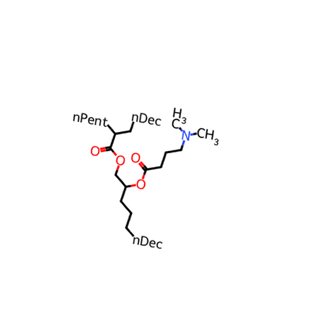 CCCCCCCCCCCCCC(COC(=O)C(CCCCC)CCCCCCCCCCC)OC(=O)CCCN(C)C